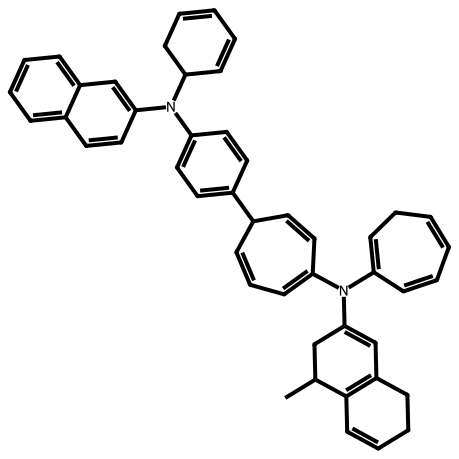 CC1CC(N(C2=CC=CC(c3ccc(N(c4ccc5ccccc5c4)C4C=CC=CC4)cc3)C=C2)C2=CCC=CC=C2)=CC2=C1C=CCC2